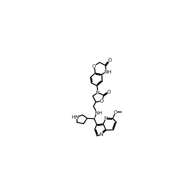 COc1ccc2nccc([C@H](NCC3CN(c4ccc5c(c4)NC(=O)CO5)C(=O)O3)C3CCNC3)c2n1